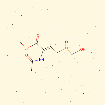 COC(=O)/C(=C/C[PH](=O)CO)NC(C)=O